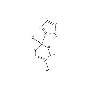 CC1=CCC(C)(c2cccs2)CS1